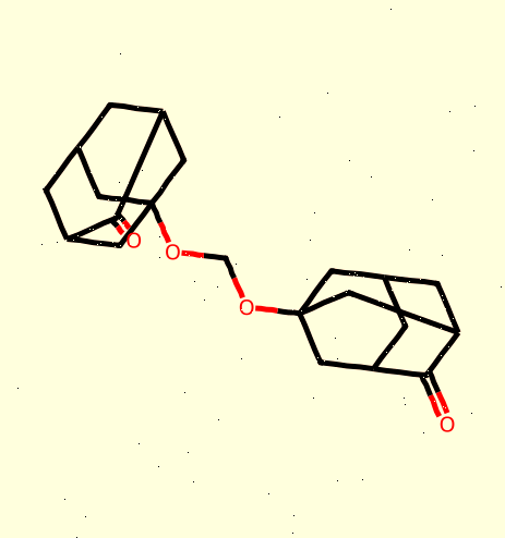 O=C1C2CC3CC1CC(OCOC14CC5CC(C1)C(=O)C(C5)C4)(C3)C2